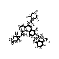 C[C@H]1CN(C)C[C@H](C)N1c1nc(-c2cccc(NS(=O)(=O)c3c(F)cccc3C(F)(F)F)c2F)c(-c2ccnc(N[C@H]3[C@@H]4CS(=O)(=O)C[C@@H]43)n2)s1